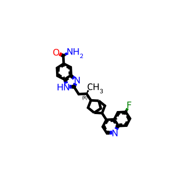 C[C@H](Cc1nc2cc(C(N)=O)ccc2[nH]1)C1CC2CC1CC2c1ccnc2ccc(F)cc12